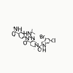 CNC(=O)c1ccc(-n2c(NC(C)C)nc3c(c2=O)C[C@@H](C)N(C(=O)c2cc4c(Br)cc(Cl)cc4[nH]2)C3)cc1